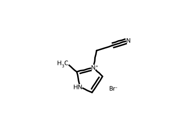 Cc1[nH]cc[n+]1CC#N.[Br-]